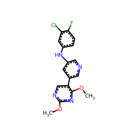 COc1ncc(-c2cncc(Nc3ccc(F)c(Cl)c3)c2)c(OC)n1